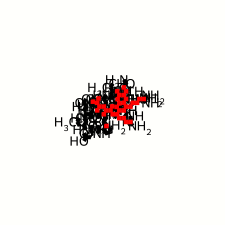 CC(C)C[C@H](NC(=O)[C@H](CC(=O)O)NC(=O)[C@@H]1CCCN1)C(=O)N[C@@H](CCC(=O)O)C(=O)N[C@@H](CC(=O)O)C(=O)N[C@@H](CC(C)C)C(=O)N[C@@H](CCCCN)C(=O)N[C@@H](CCCNC(=N)N)C(=O)N[C@@H](CCC(N)=O)C(=O)N[C@H](C(=O)N[C@@H](CCC(N)=O)C(=O)N[C@@H](CCC(N)=O)C(=O)N[C@@H](Cc1c[nH]cn1)C(=O)N[C@@H](CCCCN)C(=O)N[C@H](C(=O)O)C(C)C)C(C)C